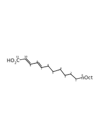 CCCCCCCCCCCCCC/C=C/C=CC(=O)O